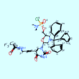 CN(C)P(=O)(Cl)OCC1CN(C(c2ccccc2)(c2ccccc2)c2ccccc2)CC(n2cc(C#CCNC(=O)C(F)(F)F)c(=O)[nH]c2=O)O1